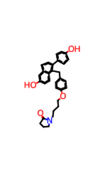 O=C1CCCN1CCCCOc1ccc(Cc2c(-c3ccc(O)cc3)ccc3cc(O)ccc23)cc1